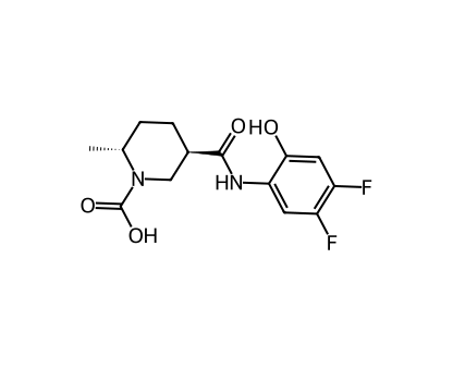 C[C@@H]1CC[C@@H](C(=O)Nc2cc(F)c(F)cc2O)CN1C(=O)O